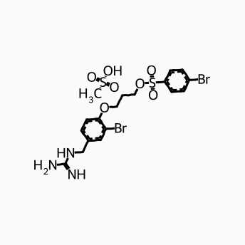 CS(=O)(=O)O.N=C(N)NCc1ccc(OCCCOS(=O)(=O)c2ccc(Br)cc2)c(Br)c1